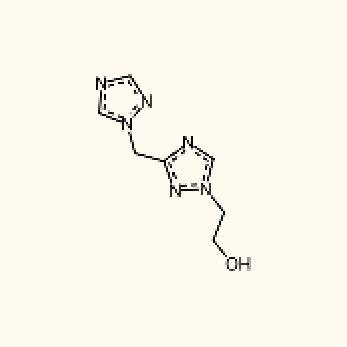 OCCn1cnc(Cn2cncn2)n1